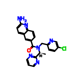 C[C@H](c1ncccn1)N(Cc1ccc(Cl)cn1)C(=O)c1ccc2nc(N)ccc2c1